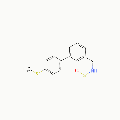 CSc1ccc(-c2cccc3c2OSNC3)cc1